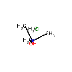 CCCCCCCCCCCCCCCCCC[N+](CC)(CCO)CCCCCCCCCCCCCCCCCC.CCl